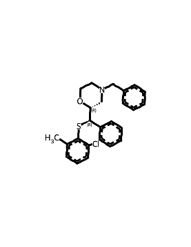 Cc1cccc(Cl)c1S[C@H](c1ccccc1)[C@H]1CN(Cc2ccccc2)CCO1